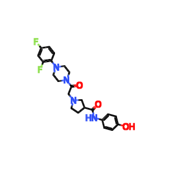 O=C(Nc1ccc(O)cc1)C1CCN(CC(=O)N2CCN(c3ccc(F)cc3F)CC2)C1